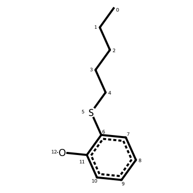 CCCCCSc1ccccc1[O]